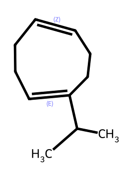 CC(C)/C1=C/CC/C=C\CC1